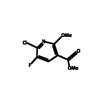 COC(=O)c1cc(F)c(Cl)nc1OC